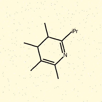 CC1=C(C)C(C)C(C)C(C(C)C)=N1